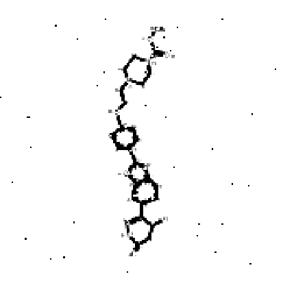 CCC1CC(=O)NN=C1c1ccc2nc(-c3ccc(OCCN4CCN(C(=O)OC(C)(C)C)CC4)cc3)oc2c1